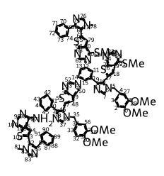 COc1ccc(Cn2cnc(-c3ccccc3)c2-c2cc3c(SC)ncnc3s2)cc1OC.COc1ccc(Cn2cnc(-c3ccccc3)c2-c2cc3cncnc3s2)cc1OC.CSc1ncnc2sc(-c3c(-c4ccccc4)ncn3C)cc12.Cn1cnc(-c2ccccc2)c1-c1cc2c(N)ncnc2s1